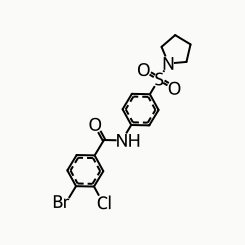 O=C(Nc1ccc(S(=O)(=O)N2CCCC2)cc1)c1ccc(Br)c(Cl)c1